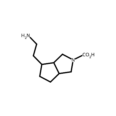 NCCC1CCC2CN(C(=O)O)CC12